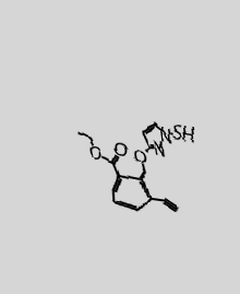 C#Cc1cccc(C(=O)OCC)c1COc1ccn(S)n1